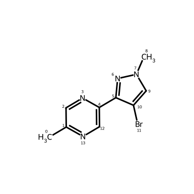 Cc1cnc(-c2nn(C)cc2Br)cn1